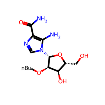 CCCCO[C@@H]1[C@H](O)[C@@H](CO)O[C@H]1n1cnc(C(N)=O)c1N